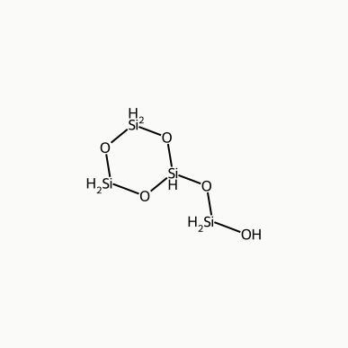 O[SiH2]O[SiH]1O[SiH2]O[SiH2]O1